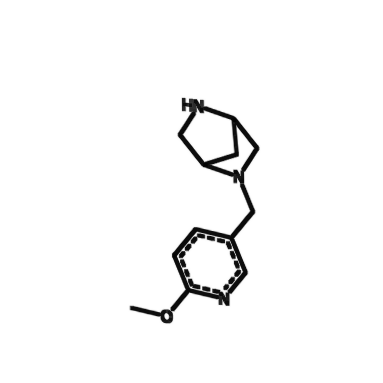 COc1ccc(CN2CC3CC2CN3)cn1